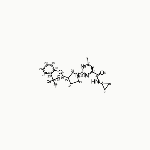 Cc1cc(C(=O)NC2CC2)nc(N2CCC(COc3ccccc3C(F)(F)F)C2)n1